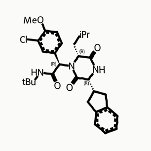 COc1ccc([C@H](C(=O)NC(C)(C)C)N2C(=O)[C@@H](C3Cc4ccccc4C3)NC(=O)[C@H]2CC(C)C)cc1Cl